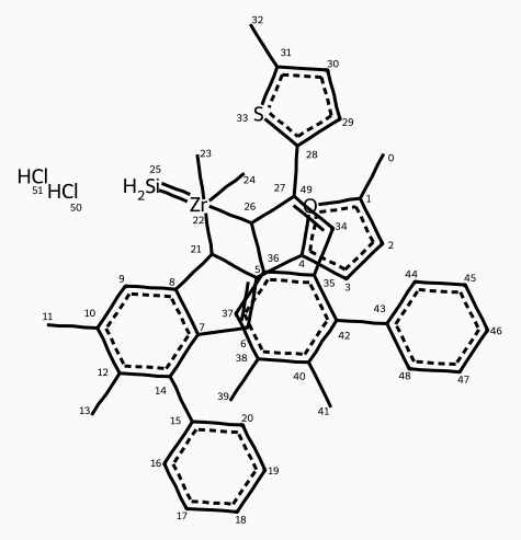 Cc1ccc(C2=Cc3c(cc(C)c(C)c3-c3ccccc3)[CH]2[Zr]([CH3])([CH3])(=[SiH2])[CH]2C(c3ccc(C)s3)=Cc3c2cc(C)c(C)c3-c2ccccc2)o1.Cl.Cl